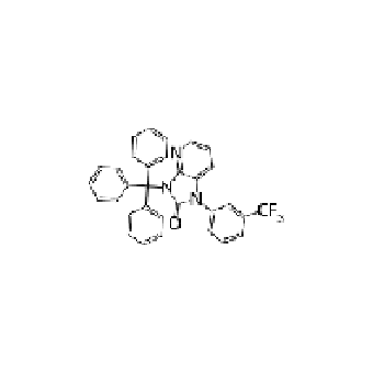 O=c1n(-c2cccc(C(F)(F)F)c2)c2cccnc2n1C(c1ccccc1)(c1ccccc1)c1ccccc1